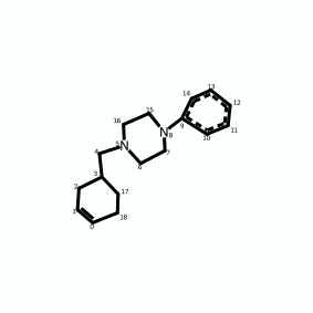 C1=CCC(CN2CCN(c3ccccc3)CC2)CC1